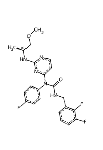 COC[C@H](C)Nc1nccc(N(C(=O)NCc2cccc(F)c2F)c2ccc(F)cc2)n1